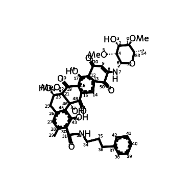 CO[C@@H]1[C@@H](O)[C@@H](OC)[C@@H](NC2=CC(=O)c3c(cc4c(c3O)C(=O)[C@]3(OC)[C@H](O)Cc5cc(C)c(C(=O)NCCCc6ccccc6)c(O)c5[C@]3(O)C4=O)C2=O)O[C@H]1C